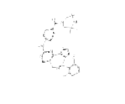 CC1(C)CN(C(=O)c2ccc(Nc3ncc4c(n3)-c3sccc3C(c3c(F)cccc3F)=NC4)cc2)CC(C)(C)N1